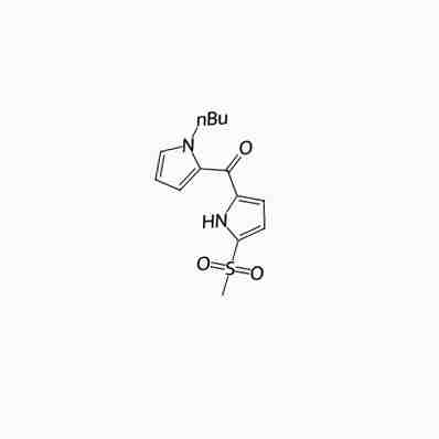 CCCCn1cccc1C(=O)c1ccc(S(C)(=O)=O)[nH]1